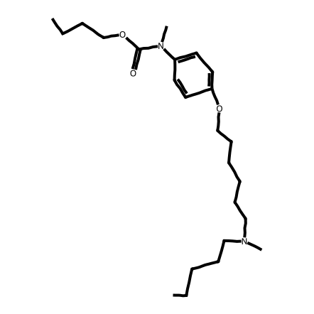 CCCCCN(C)CCCCCCOc1ccc(N(C)C(=O)OCCCC)cc1